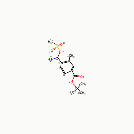 Cc1cc(C(=O)OC(C)(C)C)ccc1C(N)OS(C)(=O)=O